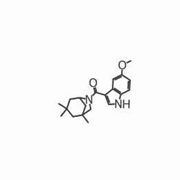 COc1ccc2[nH]cc(C(=O)N3CC4(C)CC3CC(C)(C)C4)c2c1